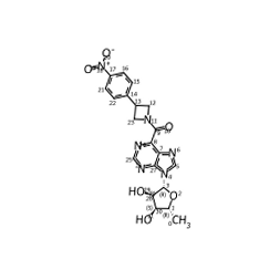 C[C@H]1O[C@@H](n2cnc3c(C(=O)N4CC(c5ccc([N+](=O)[O-])cc5)C4)ncnc32)[C@H](O)[C@@H]1O